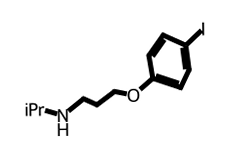 CC(C)NCCCOc1ccc(I)cc1